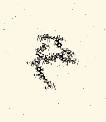 C[n+]1c(N)c(-c2ccc(OC[C@H](O/N=C(\C(=O)N[C@@H]3C(=O)N(OS(=O)(=O)ON4C(=O)[C@@H](NC(=O)/C(=N\O[C@@H](COc5ccc(-c6cn(CCCNC(=O)OC(C)(C)C)[n+](C)c6N)c(F)c5)C(=O)OC(C)(C)C)c5csc(NC(=O)OC(C)(C)C)n5)C4(C)C)C3(C)C)c3csc(NC(=O)OC(C)(C)C)n3)C(=O)OC(C)(C)C)cc2F)cn1CCCNC(=O)OC(C)(C)C